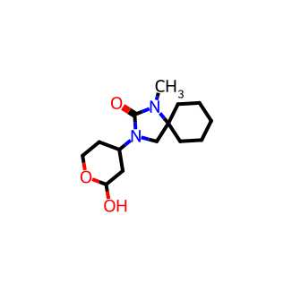 CN1C(=O)N(C2CCOC(O)C2)CC12CCCCC2